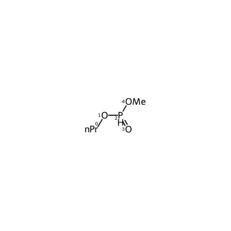 CCCO[PH](=O)OC